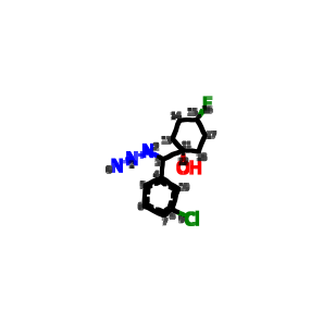 [N-]=[N+]=NC(c1cccc(Cl)c1)[C@]1(O)CC[C@@H](F)CC1